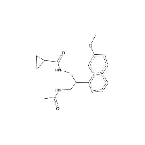 COc1ccc2cccc(C(CNC(C)=O)CNC(=O)C3CC3)c2c1